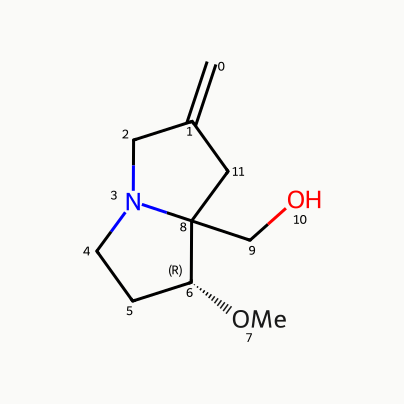 C=C1CN2CC[C@@H](OC)C2(CO)C1